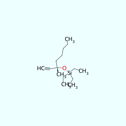 C#C[C@](C)(CCCCC)O[Si](CC)(CC)CC